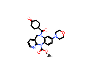 CC(C)(C)OC(=O)N1c2ccc(N3CCOCC3)cc2N(C(=O)C2CCC(=O)CC2)Cc2cccnc21